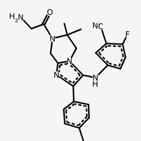 CC1(C)Cn2c(nc(-c3ccc(F)cc3)c2Nc2ccc(F)c(C#N)c2)CN1C(=O)CN